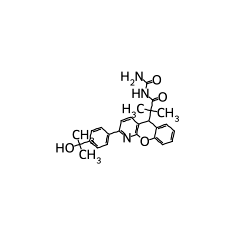 CC(C)(O)c1ccc(-c2ccc3c(n2)Oc2ccccc2C3C(C)(C)C(=O)NC(N)=O)cc1